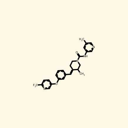 Cc1cncc(NC(=O)N2CCC(=Cc3cccc(Oc4ccc(C(F)(F)F)nc4)c3)C(C)C2)c1